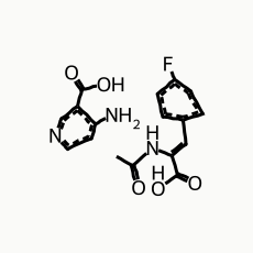 CC(=O)NC(=Cc1ccc(F)cc1)C(=O)O.Nc1ccncc1C(=O)O